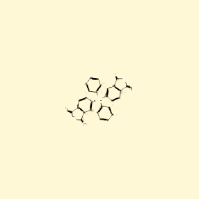 O=C1OC(=O)c2cc([Si](c3ccccc3)(c3ccccc3)c3ccc4c(c3)C(=O)OC4=O)ccc21